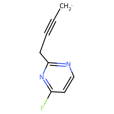 [CH2]C#CCc1nccc(F)n1